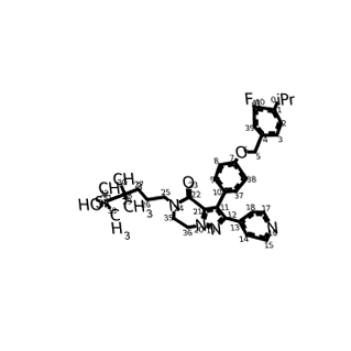 CC(C)c1ccc(COc2ccc(-c3c(-c4ccncc4)nn4c3C(=O)N(CCCC(C)(C)[Si](C)(C)O)CC4)cc2)cc1F